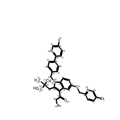 CCc1ccc(COc2ccc3c(c2)c(C(=O)CC(C)C)c(CC(C)(C)C(=O)O)n3Cc2ccc(-c3ccc(F)cn3)cc2)nc1